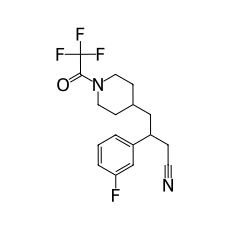 N#CCC(CC1CCN(C(=O)C(F)(F)F)CC1)c1cccc(F)c1